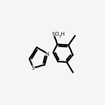 Cc1ccc(S(=O)(=O)O)c(C)c1.c1cscn1